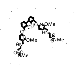 CNS(=O)(=O)CCNCc1ccc(OCc2cccc(-c3cccc(COc4ccc(CNCCS(=O)(=O)NC)c(OC)n4)c3Cl)c2Cl)nc1OC